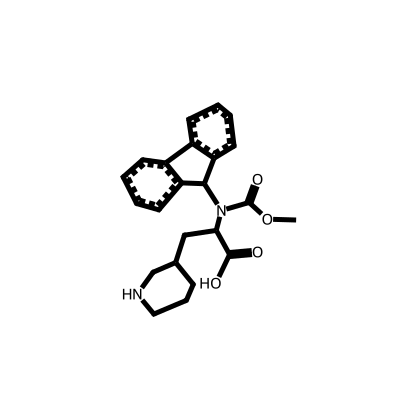 COC(=O)N(C(CC1CCCNC1)C(=O)O)C1c2ccccc2-c2ccccc21